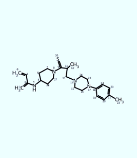 C=CC(=C)NC1CCN(C(=S)C(C)CN2CCN(c3ccc(C)cc3)CC2)CC1